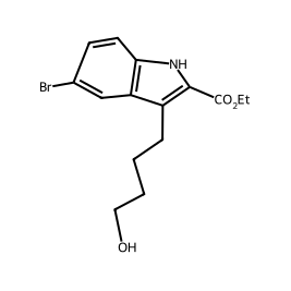 CCOC(=O)c1[nH]c2ccc(Br)cc2c1CCCCO